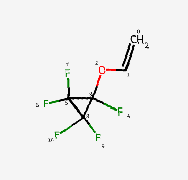 C=COC1(F)C(F)(F)C1(F)F